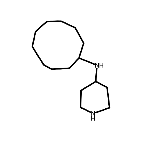 C1CCCCC(NC2CCNCC2)CCCC1